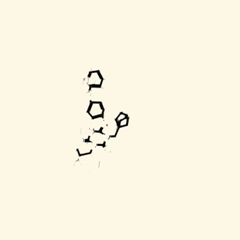 C[C@@H](Cn1c(=O)[nH]/c(=N\c2ccc(Oc3ccccn3)cc2)n(CC23CCC(C2)C3)c1=O)C(=O)O